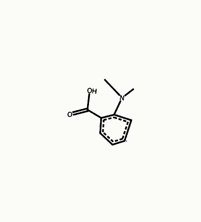 CN(C)c1c[c]ccc1C(=O)O